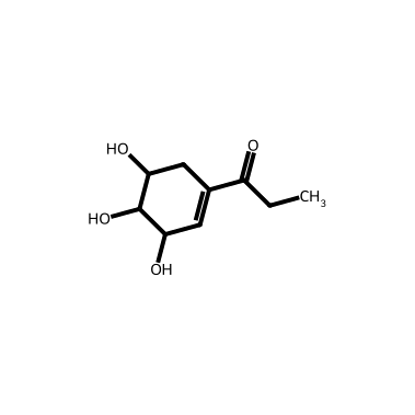 CCC(=O)C1=CC(O)C(O)C(O)C1